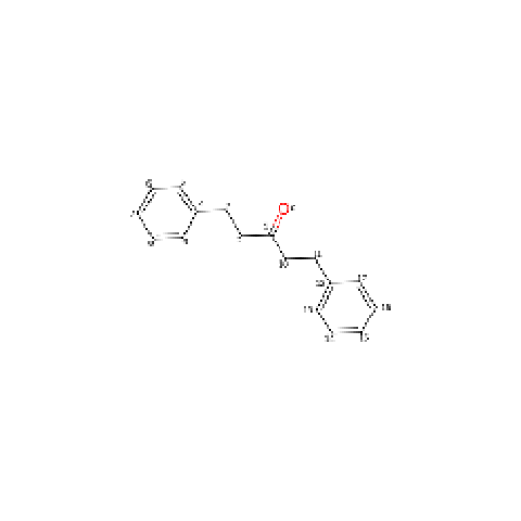 O=C(CCc1ccccc1)CCc1ccccc1